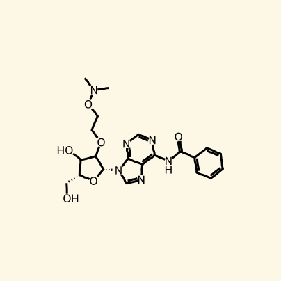 CN(C)OCCOC1C(O)[C@@H](CO)O[C@H]1n1cnc2c(NC(=O)c3ccccc3)ncnc21